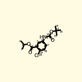 CC(C)OC(=O)c1cc(NC(=O)OC(C)(C)C)ccc1Cl